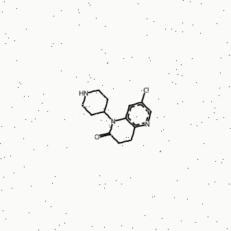 O=C1CCc2ncc(Cl)cc2N1C1CCNCC1